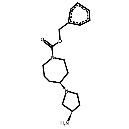 N[C@@H]1CCN([C@H]2CCCN(C(=O)OCc3ccccc3)CC2)C1